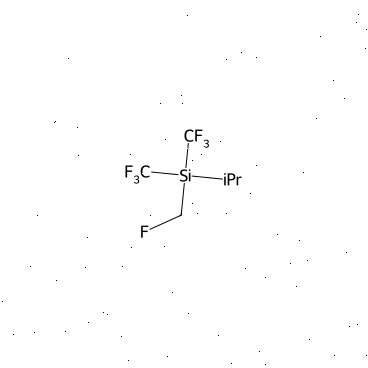 CC(C)[Si](CF)(C(F)(F)F)C(F)(F)F